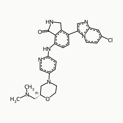 CN(C)C[C@@H]1CN(c2ccc(Nc3ccc(-c4cnc5cc(Cl)ccn45)c4c3C(=O)NC4)nc2)CCO1